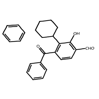 O=Cc1ccc(C(=O)c2ccccc2)c(C2CCCCC2)c1O.c1ccccc1